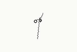 CCCCCCCCCCCCCC[n+]1ccn(CCCCC)c1Cc1ccccc1